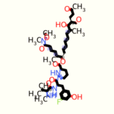 CNC(C(=O)NC(Cc1cc(O)cc(F)c1)C(=O)N1CCCC(C(=O)O[C@@H](C/C=C/C=C/C=C(\C)C(O)[C@H](C=O)CCC(C)=O)/C(C)=C/C=C/C(=O)N(C)OC)N1)C(C)C